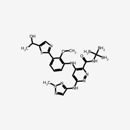 BC(B)(B)NC(=O)c1nnc(Nc2cnn(C)n2)cc1Nc1cccc(-c2ncc(C(C)O)s2)c1OC